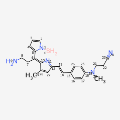 Bn1cccc1/C(CCN)=C1N=C(/C=C/c2ccc(N(C)CCC#N)cc2)C=C\1C